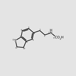 O=C(O)NCCc1ccc2c(c1)CCS2